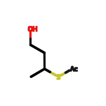 CC(=O)SC(C)CCO